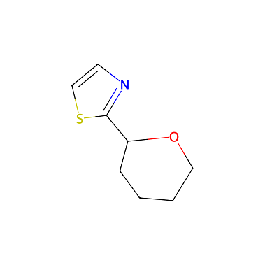 c1csc(C2CCCCO2)n1